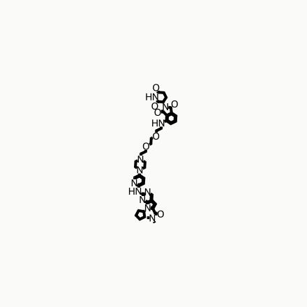 CN(C)C(=O)c1cc2cnc(Nc3ccc(N4CCN(CCOCCOCCNc5cccc6c5C(=O)N(C5CCC(=O)NC5=O)C6=O)CC4)cn3)nc2n1C1CCCC1